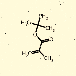 C=C(C)C(=O)OC(C)(C)P